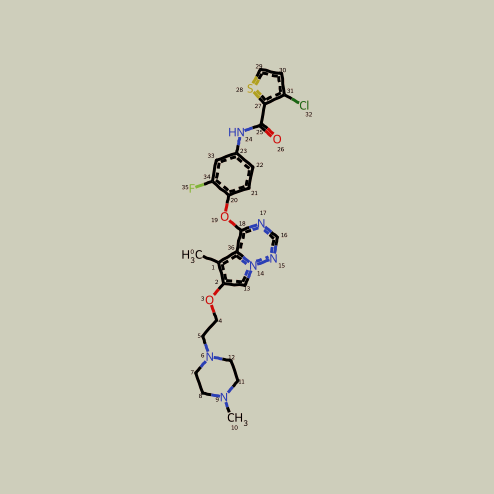 Cc1c(OCCN2CCN(C)CC2)cn2ncnc(Oc3ccc(NC(=O)c4sccc4Cl)cc3F)c12